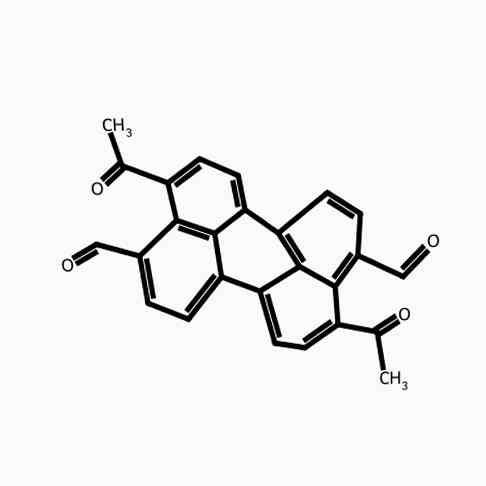 CC(=O)c1ccc2c3ccc(C=O)c4c(C(C)=O)ccc(c5ccc(C=O)c1c52)c43